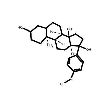 COc1ccc(C2(O)CC[C@@]3(O)[C@@H]4CCC5CC(O)CC[C@]5(C)[C@@H]4CC[C@]23C)cc1